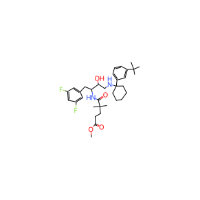 COC(=O)CCC(C)(C)C(=O)NC(Cc1cc(F)cc(F)c1)C(O)CNC1(c2cccc(C(C)(C)C)c2)CCCCC1